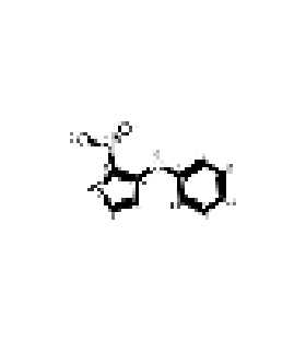 O=[N+]([O-])c1sccc1Oc1ccccc1